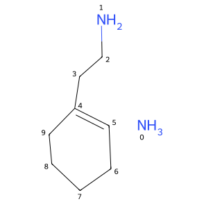 N.NCCC1=CCCCC1